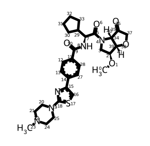 CO[C@H]1CN(C(=O)[C@@H](NC(=O)c2ccc(-c3csc(N4CCN(C)CC4)n3)cc2)C2CCCC2)[C@@H]2C(=O)CO[C@H]12